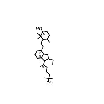 COC1CC2[C@H](CCC3C(C)CC[C@H](O)C3(C)C)CCC[C@]2(C)C1[C@H](C)CCCC(C)(C)O